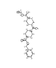 CC(C)(C)OC(=O)N1CCC(C(=O)N2CCN(C(=O)OCc3ccccc3)CC2)CC1